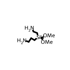 COC(OC)[SiH](CCN)CCCN